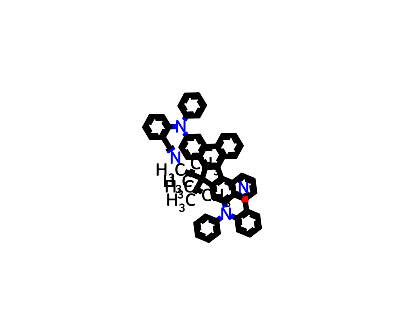 CC(C)(C)C1(C(C)(C)C)c2cc(N(c3ccccc3)c3ccccc3C#N)c3ccccc3c2-c2c1c1ccc(N(c3ccccc3)c3ccccc3C#N)cc1c1ccccc21